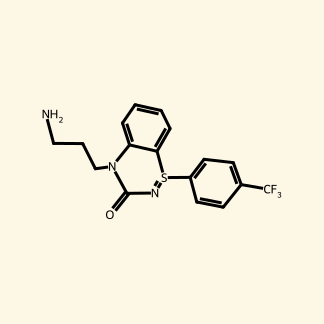 NCCCN1C(=O)N=S(c2ccc(C(F)(F)F)cc2)c2ccccc21